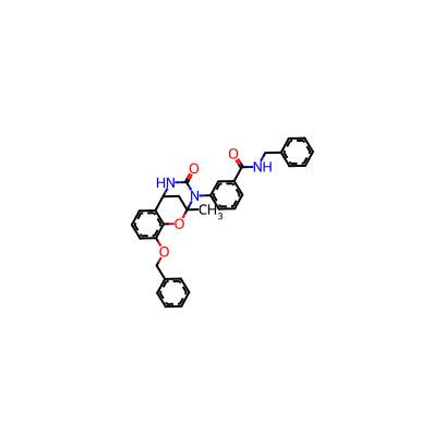 CC12CC(NC(=O)N1c1cccc(C(=O)NCc3ccccc3)c1)c1cccc(OCc3ccccc3)c1O2